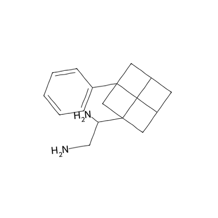 NCC(N)C12CC3CC4CC(c5ccccc5)(C1)C432